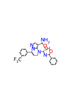 NC(=O)c1cnn2c1N(/C(S)=N/C(=O)c1ccccc1)CC=C2c1cccc(C(F)(F)F)c1